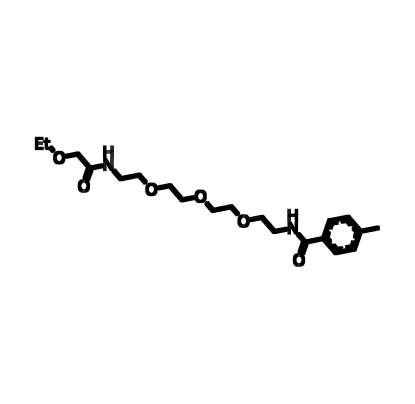 CCOCC(=O)NCCOCCOCCOCCNC(=O)c1ccc(C)cc1